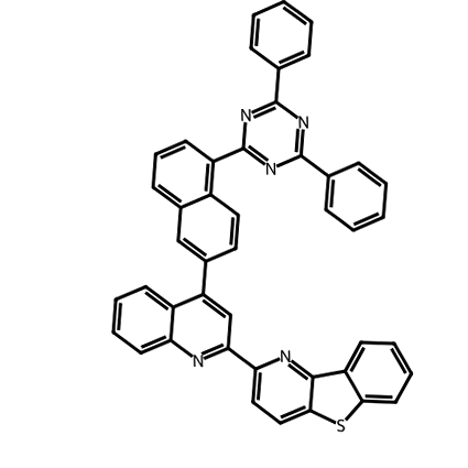 c1ccc(-c2nc(-c3ccccc3)nc(-c3cccc4cc(-c5cc(-c6ccc7sc8ccccc8c7n6)nc6ccccc56)ccc34)n2)cc1